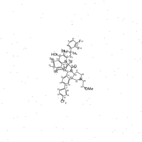 [2H]C1=C(SC([2H])([2H])c2cccc(F)c2F)N(C([2H])([2H])C(=O)N(Cc2ccc(-c3ccc(C(F)(F)F)cc3)cc2)C2CCN(CCOC)CC2)c2c([2H])c([2H])c(C)c([2H])c2C1O